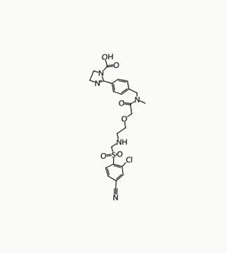 CN(Cc1ccc(C2=NCCN2C(=O)O)cc1)C(=O)COCCNCS(=O)(=O)c1ccc(C#N)cc1Cl